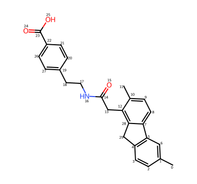 Cc1ccc2c(c1)-c1ccc(C)c(CC(=O)NCCc3ccc(C(=O)O)cc3)c1C2